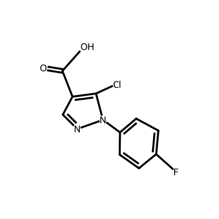 O=C(O)c1cnn(-c2ccc(F)cc2)c1Cl